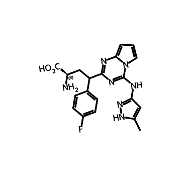 Cc1cc(Nc2nc(C(C[C@@H](N)C(=O)O)c3ccc(F)cc3)nc3cccn23)n[nH]1